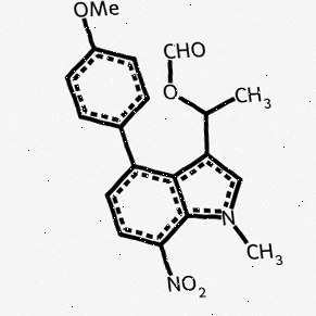 COc1ccc(-c2ccc([N+](=O)[O-])c3c2c(C(C)OC=O)cn3C)cc1